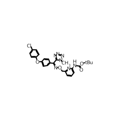 Cn1nnnc1/C(=N\OCc1cccc(NC(=O)OC(C)(C)C)n1)c1ccc(Oc2ccc(Cl)cc2)cc1